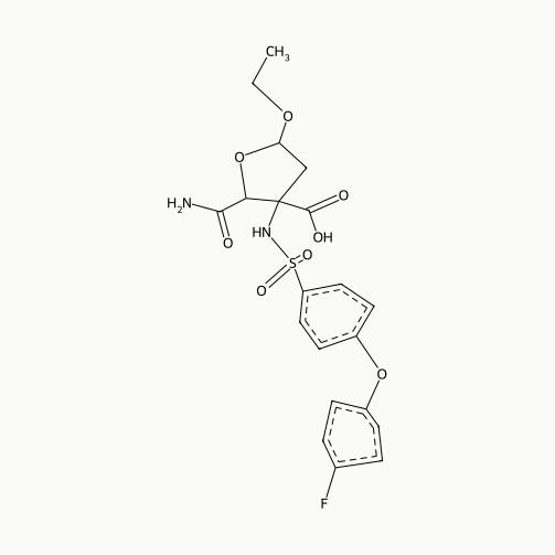 CCOC1CC(NS(=O)(=O)c2ccc(Oc3ccc(F)cc3)cc2)(C(=O)O)C(C(N)=O)O1